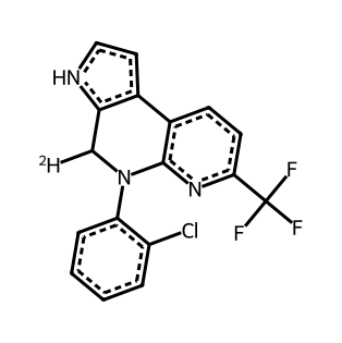 [2H]C1c2[nH]ccc2-c2ccc(C(F)(F)F)nc2N1c1ccccc1Cl